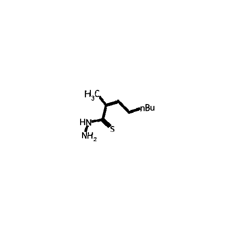 CCCCCCC(C)C(=S)NN